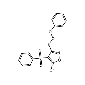 O=S(=O)(c1ccccc1)c1c(SOOc2ccccc2)no[n+]1[O-]